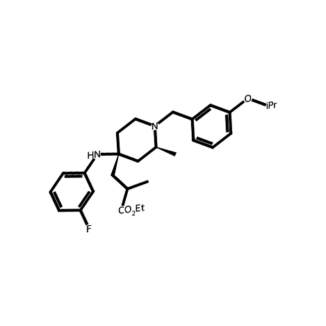 CCOC(=O)C(C)C[C@@]1(Nc2cccc(F)c2)CCN(Cc2cccc(OC(C)C)c2)[C@@H](C)C1